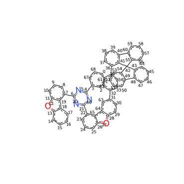 c1ccc(-c2nc(-c3cccc4oc5ccccc5c34)nc(-c3cccc4oc5ccc(-c6ccc(-c7cccc8c7C7(c9ccccc9-c9ccccc97)c7ccccc7-8)cc6)cc5c34)n2)cc1